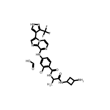 CC(NC(=O)c1ccc(Nc2nccn3c(-c4c[nH]nc4C(F)(F)F)cnc23)cc1Cl)C(=O)NC1CC(N)C1.O=CO